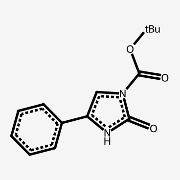 CC(C)(C)OC(=O)n1cc(-c2ccccc2)[nH]c1=O